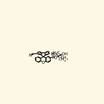 CC(C)(O)C(C)(C)OBc1ccc2c(c1)C1(c3ccccc3O2)c2ccccc2-c2ccc(C#N)cc21